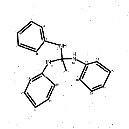 [CH2]C(Nc1ccccc1)(Nc1ccccc1)Nc1ccccc1